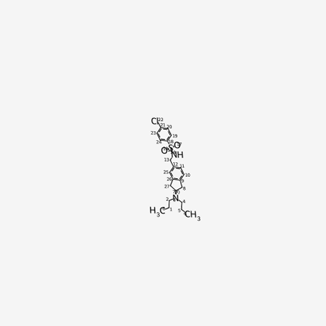 CCCN(CCC)[C@@H]1Cc2ccc(CNS(=O)(=O)c3ccc(Cl)cc3)cc2C1